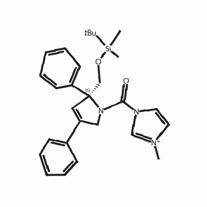 C[n+]1ccn(C(=O)N2CC(c3ccccc3)=C[C@@]2(CO[Si](C)(C)C(C)(C)C)c2ccccc2)c1